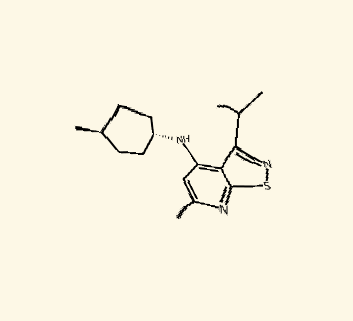 Cc1cc(N[C@H]2CC[C@H](C)CC2)c2c(C(C)C)nsc2n1